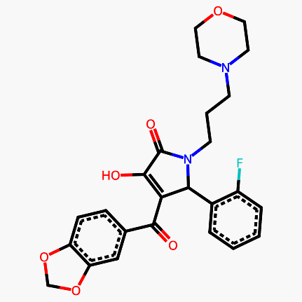 O=C(C1=C(O)C(=O)N(CCCN2CCOCC2)C1c1ccccc1F)c1ccc2c(c1)OCO2